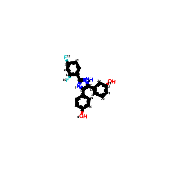 Oc1ccc(-c2nc(-c3ccc(F)cc3F)[nH]c2-c2cccc(O)c2)cc1